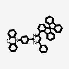 c1ccc(-c2cc(-c3cccc4c3-c3ccccc3C43c4ccccc4-c4ccccc43)nc(-c3ccc(N4c5ccccc5Oc5ccccc54)cc3)n2)cc1